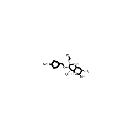 CCC[C@H]1O[C@H]2[C@H](C)[C@@H](OCc3ccc(OC)cc3)[C@H](CCO)O[C@H]2C[C@H]1C